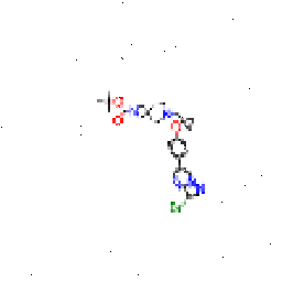 CC(C)(C)OC(=O)N1CC2(CCN(CC3(Oc4ccc(-c5cnc6c(Br)cnn6c5)cc4)CC3)CC2)C1